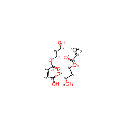 C=CC(=O)OCCCO.O=C(O)/C=C\C(=O)OCCCO